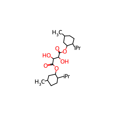 CC1CCC(C(C)C)C(OC(=O)C(O)C(O)C(=O)OC2CC(C)CCC2C(C)C)C1